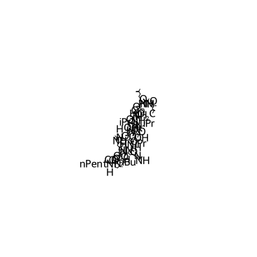 C=C(C)CCCC[C@H](NC(=O)C(C)NC(=O)C(C)CCC(=O)O)C(=O)C1CCCC1C(=O)N[C@@H](C)C(=O)NC(CC(C)C)C(=O)N[C@@H](CC(C)C)C(=O)NC(C(=O)N[C@@H](CO)C(=O)CC(CCCNC(C)=N)C(=O)N[C@@H](CC(C)C)C(=O)NC(CCCNC(C)=N)C(=O)N[C@@H](CC1CCCCC1)C(=O)CC(C(=O)N1CCC[C@H]1C(=O)NC(CCCCC)C(=O)O)C(C)CC)C(C)O